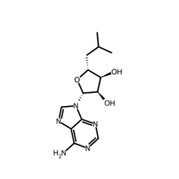 CC(C)C[C@H]1O[C@@H](n2cnc3c(N)ncnc32)[C@H](O)[C@@H]1O